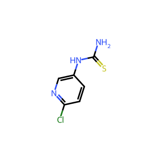 NC(=S)Nc1ccc(Cl)nc1